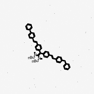 CCCCN(C)C(=C(c1ccc(/C=C/c2ccc(Cc3ccccc3)cc2)cc1)c1ccc(/C=C/c2ccc(-c3ccccc3)cc2)cc1)N(C)CCCC